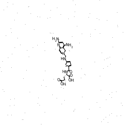 Nc1cc(N)c2c(n1)C=CN(CNc1ccc(C(=O)N[C@@H](CCC(=O)O)C(=O)O)s1)C2